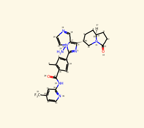 Cc1cc(C2=NC([C@@H]3CC[C@H]4CCC(=O)N4C3)=C3C=NC=C[N+]23N)ccc1C(=O)Nc1cc(C(F)(F)F)ccn1